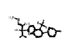 CC(C)C(O)(/C(N)=C/NN)c1ccc2c(C(F)(F)F)c(-c3ccc(F)cc3)ccc2n1